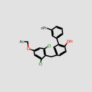 CCCc1cccc(-c2cc(Cc3c(Cl)cc(OCC(C)=O)cc3Cl)ccc2O)c1